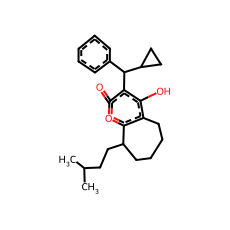 CC(C)CCC1CCCCc2c1oc(=O)c(C(c1ccccc1)C1CC1)c2O